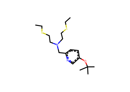 CCSCCN(CCSCC)Cc1ccc(OC(C)(C)C)cn1